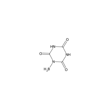 Bn1c(=O)[nH]c(=O)[nH]c1=O